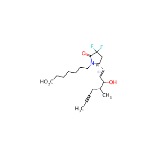 CC#CCC(C)C(O)/C=C/[C@H]1CC(F)(F)C(=O)N1CCCCCCC(=O)O